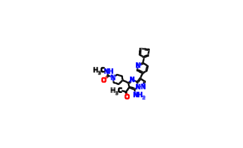 CNC(=O)N1CCC(c2nc3c(-c4ccc(-c5ccccc5)nc4)cnn3c(N)c2C(C)=O)CC1